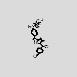 Cc1cc(C(C)c2ccc(NS(=O)(=O)C(F)(F)F)cc2)[nH]c1C(=O)c1ccc(Cl)cc1